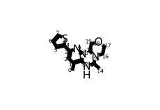 Cc1cc(-c2cccs2)nnc1NC(C)N1CCOCC1